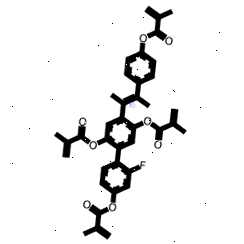 C=C(C)C(=O)Oc1ccc(/C(C)=C(\C)c2cc(OC(=O)C(=C)C)c(-c3ccc(OC(=O)C(=C)C)cc3F)cc2OC(=O)C(=C)C)cc1